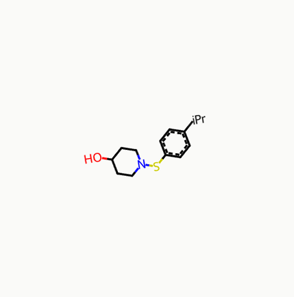 CC(C)c1ccc(SN2CCC(O)CC2)cc1